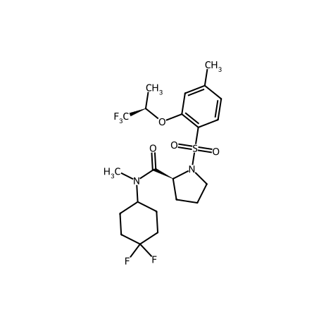 Cc1ccc(S(=O)(=O)N2CCC[C@H]2C(=O)N(C)C2CCC(F)(F)CC2)c(O[C@H](C)C(F)(F)F)c1